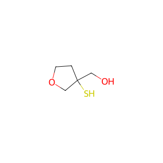 OCC1(S)CCOC1